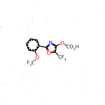 O=C(O)Oc1nc(-c2ccccc2OC(F)(F)F)oc1C(F)(F)F